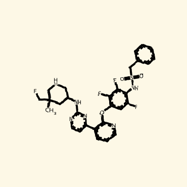 CC1(CF)CNCC(Nc2nccc(-c3cccnc3Oc3cc(F)c(NS(=O)(=O)Cc4ccccc4)c(F)c3F)n2)C1